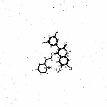 Cc1cc(C)cc(-c2c(OCCC3CCCCN3)c3cc(N)c(Cl)cc3[nH]c2=O)c1